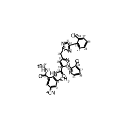 Cc1cc(C#N)cc(C(=O)NC(C)(C)C)c1NC(=O)c1cc(Cn2ncc(-c3ccccc3Cl)n2)nn1-c1ncccc1Cl